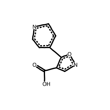 O=C(O)c1cnoc1-c1ccncc1